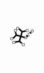 O=C=NC(C(Cl)Cl)(C(Cl)Cl)C(Cl)Cl